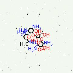 C[C@H](N)[C@@H]1CC[C@@H](N)C([C@H]2[C@H](O[C@@H]3O[C@H](CO)[C@@H](O[C@H]4O[C@@H](CN)[C@@H](O)[C@H](O)[C@H]4N)[C@H]3O)[C@@H](O)[C@H](N)C[C@@H]2N)O1